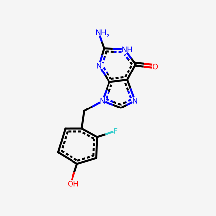 Nc1nc2c(ncn2Cc2ccc(O)cc2F)c(=O)[nH]1